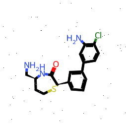 NC[C@@H]1CCS[C@H](c2cccc(-c3ccc(Cl)c(N)c3)c2)C(=O)N1